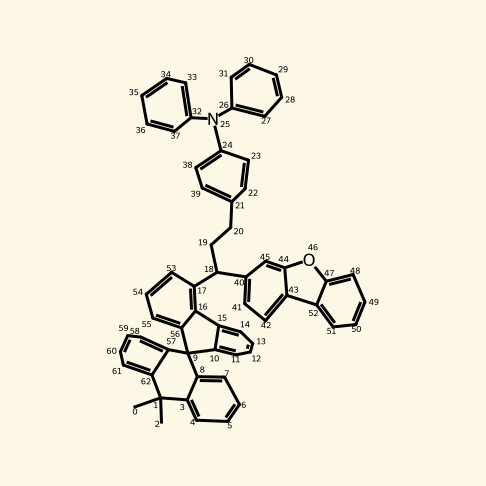 CC1(C)c2ccccc2C2(c3ccccc3-c3c(C(CCc4ccc(N(c5ccccc5)c5ccccc5)cc4)c4ccc5c(c4)oc4ccccc45)cccc32)c2ccccc21